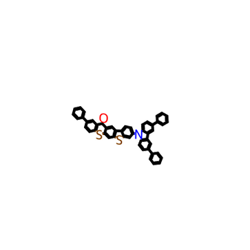 O=c1c2cc(-c3ccccc3)ccc2sc2cc3sc4cc(-n5c6ccc(-c7ccccc7)cc6c6cc(-c7ccccc7)ccc65)ccc4c3cc12